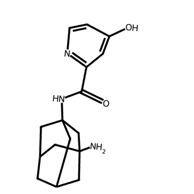 NC12CC3CC(C1)CC(NC(=O)c1cc(O)ccn1)(C3)C2